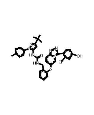 Cc1ccc(-n2nc(C(C)(C)C)cc2NC(=O)NCc2ccccc2Sc2ccc3nnc(-c4ccc(O)cc4Cl)n3c2)cc1